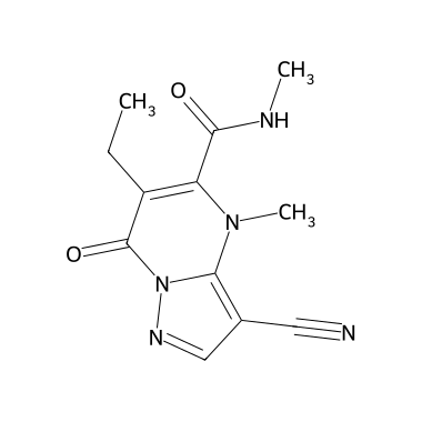 CCc1c(C(=O)NC)n(C)c2c(C#N)cnn2c1=O